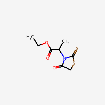 CCOC(=O)C(C)N1C(=O)CSC1=S